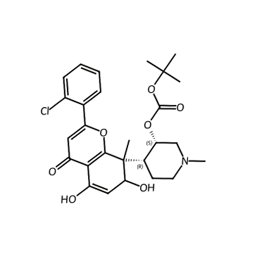 CN1CC[C@H](C2(C)c3oc(-c4ccccc4Cl)cc(=O)c3C(O)=CC2O)[C@H](OC(=O)OC(C)(C)C)C1